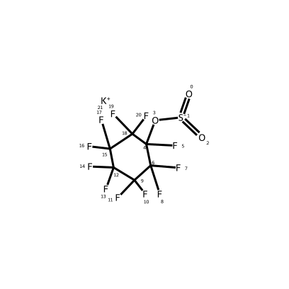 O=[S-](=O)OC1(F)C(F)(F)C(F)(F)C(F)(F)C(F)(F)C1(F)F.[K+]